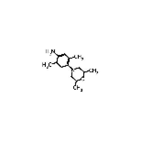 CC1=C(N2CC(C)OC(C)C2)CC(C)C(N)=C1